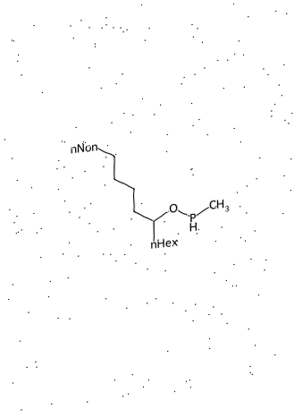 CCCCCCCCCCCCCC(CCCCCC)OPC